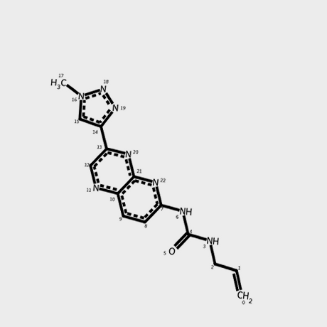 C=CCNC(=O)Nc1ccc2ncc(-c3cn(C)nn3)nc2n1